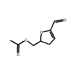 CC(=O)OCC1CC=C(C=O)O1